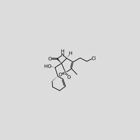 CC1=C(CCCl)[C@@H]2NC(=O)[C@]2([C@@H](O)[C@@H]2C=CCCC2)S1(=O)=O